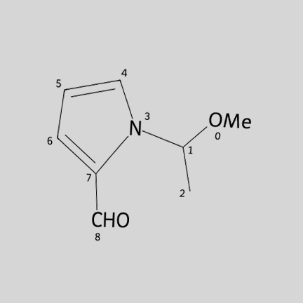 COC(C)n1cccc1C=O